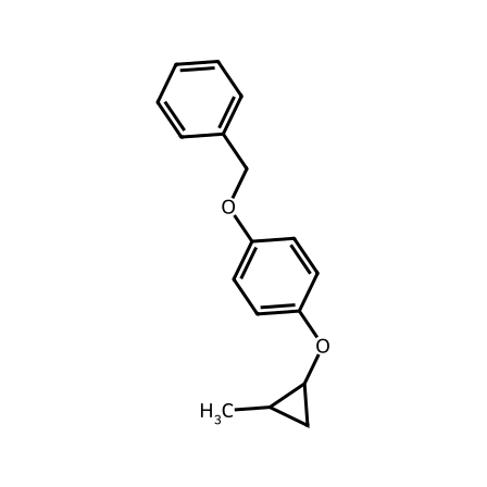 CC1CC1Oc1ccc(OCc2ccccc2)cc1